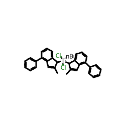 CCC[CH2][Ti]([Cl])([Cl])([CH]1C(C)=Cc2c(-c3ccccc3)cccc21)[CH]1C(C)=Cc2c(-c3ccccc3)cccc21